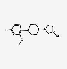 COc1cc(F)ccc1C1CCC(N2CC[C@@H](N)C2)CC1